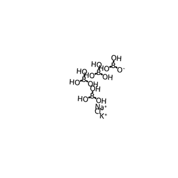 OB(O)O.OB(O)O.OB(O)O.[Cl-].[K+].[Na+].[O-]B(O)O